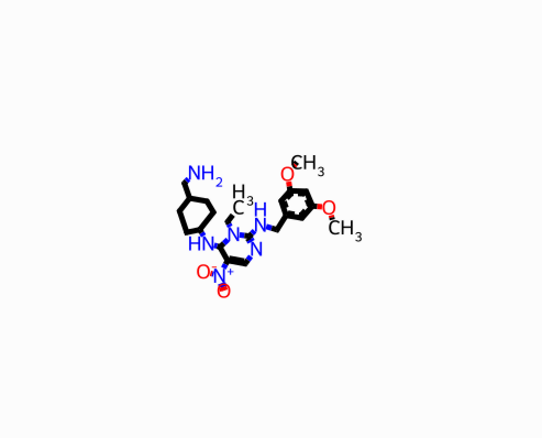 CCN1C(NCc2cc(OC)cc(OC)c2)=NC=C([N+](=O)[O-])C1NC1CCC(CN)CC1